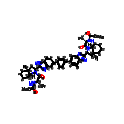 COC(=O)N[C@H](C(=O)N1[C@H](c2nc3cc(-c4ccc(-c5ccc6[nH]c([C@@H]7C[C@@H]8CCCC[C@@H]8N7C(=O)[C@@H](NC(=O)OC)C(C)C)nc6c5)cc4)ccc3[nH]2)C[C@@H]2CCCC[C@@H]21)C(C)C